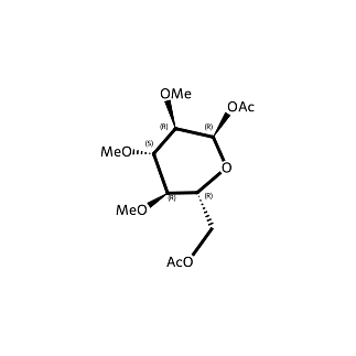 CO[C@@H]1[C@@H](OC)[C@@H](OC(C)=O)O[C@H](COC(C)=O)[C@H]1OC